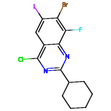 Fc1c(Br)c(I)cc2c(Cl)nc(C3CCCCC3)nc12